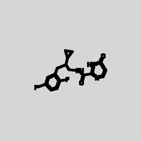 O=C(NCC(Cc1cc(F)ccc1F)C1CC1)c1nccc(=O)[nH]1